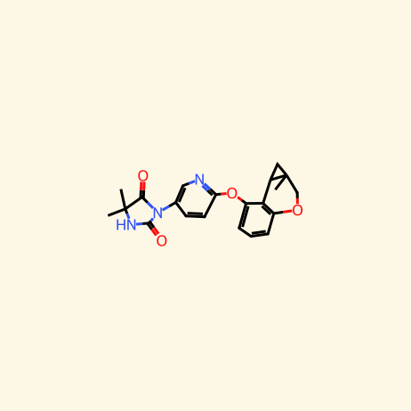 CC1(C)NC(=O)N(c2ccc(Oc3cccc4c3C3CC3(C)CO4)nc2)C1=O